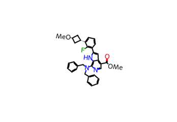 COC(=O)c1cnc(N(Cc2ccccc2)Cc2ccccc2)c2[nH]c(-c3cccc([C@H]4C[C@@H](OC)C4)c3F)cc12